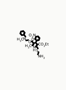 CCOC(=O)C1=C(CSCCN)NC(C)=C(C(=O)OCCN(C)Cc2ccccc2)C1c1cccc([N+](=O)[O-])c1